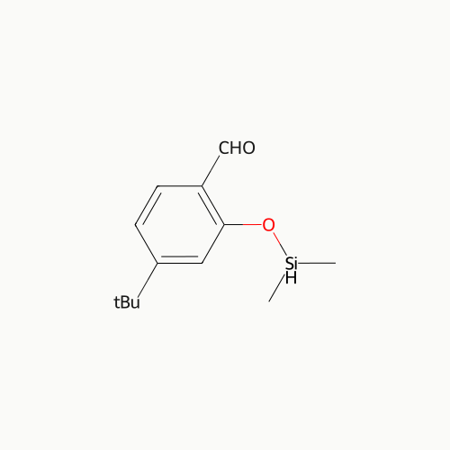 C[SiH](C)Oc1cc(C(C)(C)C)ccc1C=O